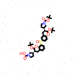 CC(C)(C)OC(=O)C(Cc1cccc([S+]([O-])c2cccc(CC(C(=O)OC(C)(C)C)[C@H]3CCN(C(=O)OC(C)(C)C)C3)c2)c1)[C@H]1CCN(C(=O)O)C1